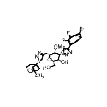 CO[C@@H]1[C@@H](n2cc(-c3ccc(Br)c(F)c3F)nn2)[C@@H](O)[C@@H](CO)O[C@@H]1Cc1cn(C23CCOC(C)(C2)C3)nn1